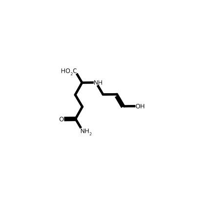 NC(=O)CCC(NCC=CO)C(=O)O